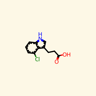 O=C(O)CCc1c[nH]c2cccc(Cl)c12